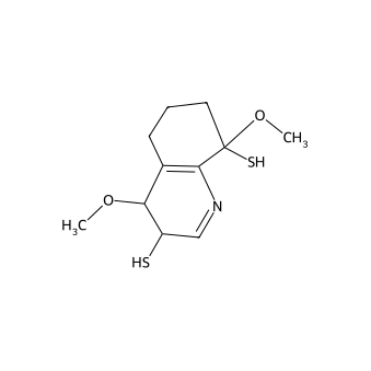 COC1C2=C(N=CC1S)C(S)(OC)CCC2